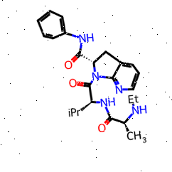 CCN[C@@H](C)C(=O)N[C@H](C(=O)N1c2ncccc2C[C@H]1C(=O)Nc1ccccc1)C(C)C